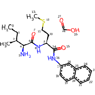 CC[C@H](C)[C@H](N)C(=O)N[C@@H](CCSC)C(=O)Nc1ccc2ccccc2c1.O=CO